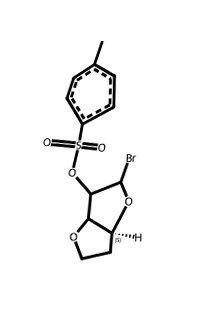 Cc1ccc(S(=O)(=O)OC2C(Br)O[C@H]3CCOC23)cc1